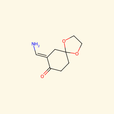 N/C=C1\CC2(CCC1=O)OCCO2